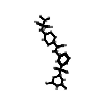 CC1CN(S(=O)(=O)c2cccc(NC(=O)N3CCC(NS(=O)(=O)C(C)C)CC3)c2)CC(C)O1